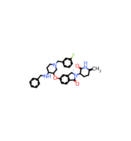 C=C1CCC(N2Cc3cc(OC4CN(Cc5cccc(F)c5)CCC4NCc4ccccc4)ccc3C2=O)C(=O)N1